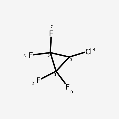 FC1(F)C(Cl)C1(F)F